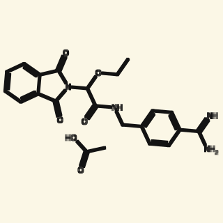 CC(=O)O.CCOC(C(=O)NCc1ccc(C(=N)N)cc1)N1C(=O)c2ccccc2C1=O